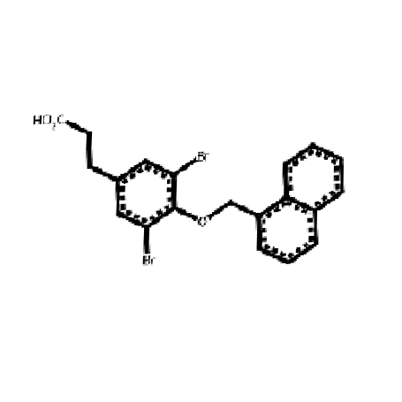 O=C(O)CCc1cc(Br)c(OCc2cccc3ccccc23)c(Br)c1